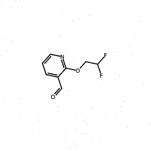 O=Cc1cccnc1OCC(F)F